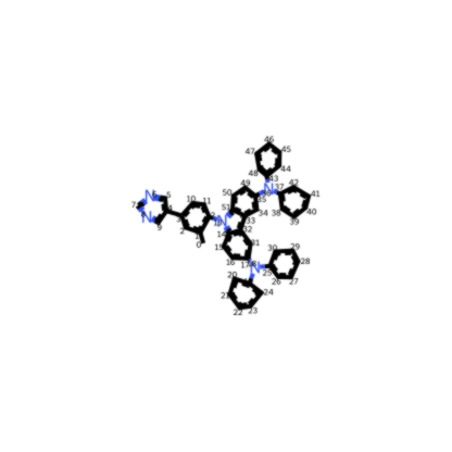 Cc1cc(-c2cncnc2)ccc1-n1c2ccc(N(c3ccccc3)c3ccccc3)cc2c2cc(N(c3ccccc3)c3ccccc3)ccc21